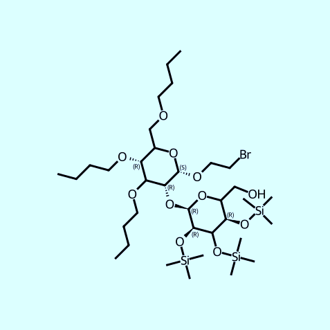 CCCCOCC1O[C@H](OCCBr)[C@H](O[C@H]2OC(CO)[C@@H](O[Si](C)(C)C)C(O[Si](C)(C)C)[C@H]2O[Si](C)(C)C)C(OCCCC)[C@@H]1OCCCC